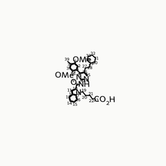 COc1cc(-c2nc(NC(=O)c3cc4ccccc4n3CCCCC(=O)O)ncc2CCC2CCCCC2)c(OC)cc1C